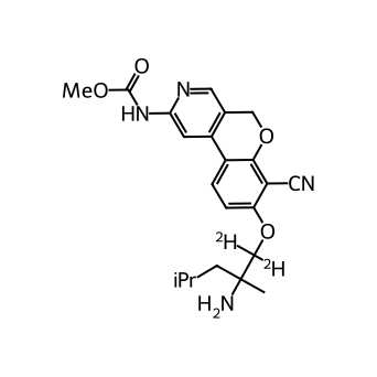 [2H]C([2H])(Oc1ccc2c(c1C#N)OCc1cnc(NC(=O)OC)cc1-2)C(C)(N)CC(C)C